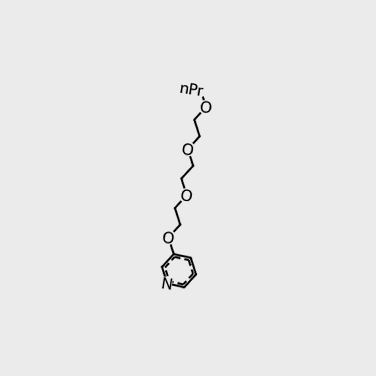 CCCOCCOCCOCCOc1cccnc1